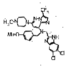 COc1ccc(CN(Cc2nc3cc(Cl)c(Cl)cc3[nH]2)c2cc(N3CCN(C)CC3)nn3c(C(F)(F)F)cnc23)cc1